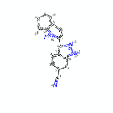 N#Cc1ccc2c(-c3cc4ccccc4[nH]3)n[nH]c2c1